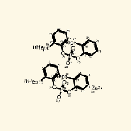 CCCCCCCc1ccccc1OP(=O)([O-])Oc1ccccc1CCCCCCC.CCCCCCCc1ccccc1OP(=O)([O-])Oc1ccccc1CCCCCCC.[Zn+2]